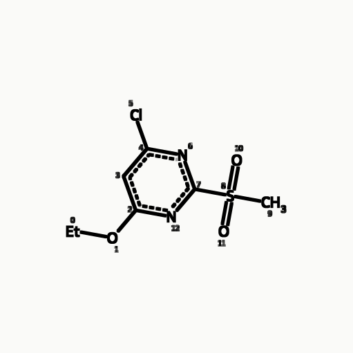 CCOc1cc(Cl)nc(S(C)(=O)=O)n1